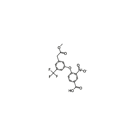 COC(=O)Cc1cc(Oc2ccc(C(=O)O)cc2[N+](=O)[O-])cc(C(F)(F)F)c1